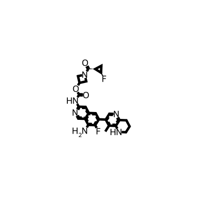 Cc1c(-c2cc3cc(NC(=O)OC4CN(C(=O)[C@@H]5C[C@@H]5F)C4)ncc3c(N)c2F)cnc2c1NCCC2